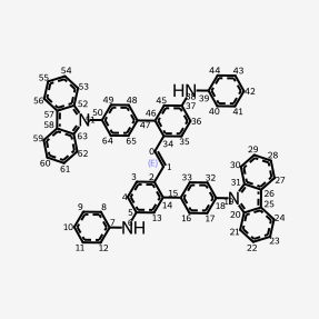 C(=C\c1ccc(Nc2ccccc2)cc1-c1ccc(-n2c3ccccc3c3ccccc32)cc1)/c1ccc(Nc2ccccc2)cc1-c1ccc(-n2c3ccccc3c3ccccc32)cc1